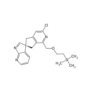 C[Si](C)(C)CCOCc1nc(Cl)cc2c1C[C@@]1(C=Nc3ncccc31)C2